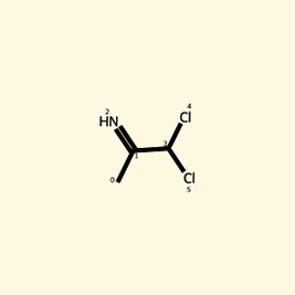 CC(=N)C(Cl)Cl